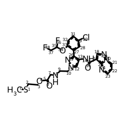 CSCCOC(=O)CNCCn1cc(NC(=O)c2cnn3cccnc23)c(-c2cc(Cl)ccc2OC(F)CF)n1